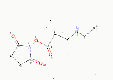 CC(=O)CNCCC(=O)ON1C(=O)CCC1=O